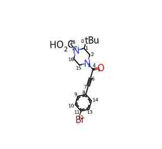 CC(C)(C)C1CN(C(=O)C#Cc2ccc(Br)cc2)CCN1C(=O)O